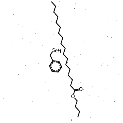 CCCCCCCCCCCCCCCCCC(=O)OCCCC.[SeH]Cc1ccccc1